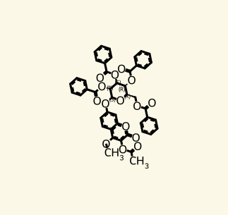 COc1c(OC(C)=O)c(=O)oc2cc(O[C@@H]3O[C@H](COC(=O)c4ccccc4)[C@@H](OC(=O)c4ccccc4)[C@H](OC(=O)c4ccccc4)[C@H]3OC(=O)c3ccccc3)ccc12